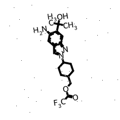 CC(C)(O)c1cc2nn(C3CCC(COC(=O)C(F)(F)F)CC3)cc2cc1N